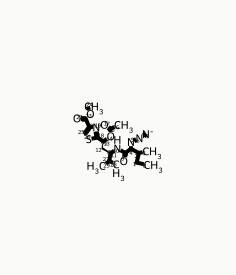 CCC(C)C(N=[N+]=[N-])C(=O)N[C@H](C[C@@H](OC(C)=O)c1nc(C(=O)OC)cs1)C(C)C